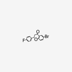 O=C1CC(c2ccc(F)cc2)Oc2ccc(Br)cc21